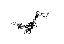 CCCCCCCC(O)C=CC1C(O)C[C@@H]2C(=NOCCCC(=O)O)C[C@@H]12